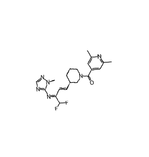 Cc1cc(C(=O)N2CCC[C@H](/C=C/C(=N\c3ncnn3C)C(F)F)C2)cc(C)n1